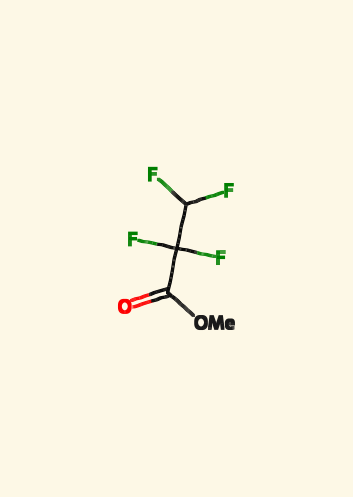 COC(=O)C(F)(F)C(F)F